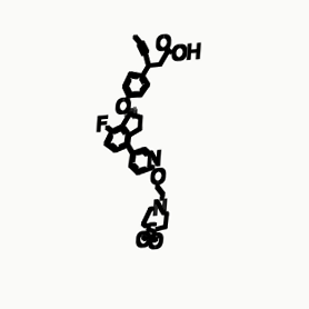 CC#CC(CC(=O)O)c1ccc(O[C@@H]2CCc3c(-c4ccc(OCCN5CCS(=O)(=O)CC5)nc4)ccc(F)c32)cc1